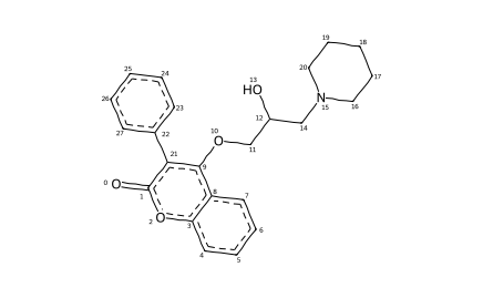 O=c1oc2ccccc2c(OCC(O)CN2CCCCC2)c1-c1ccccc1